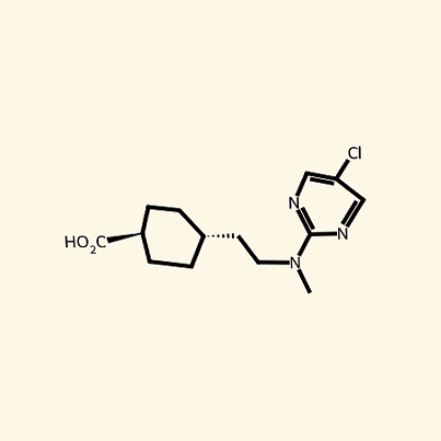 CN(CC[C@H]1CC[C@H](C(=O)O)CC1)c1ncc(Cl)cn1